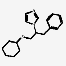 c1ccc(CC(CSC2CCCCC2)n2ccnc2)cc1